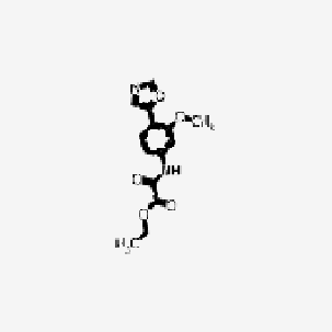 CCOC(=O)C(=O)Nc1ccc(-c2cnco2)c(OC)c1